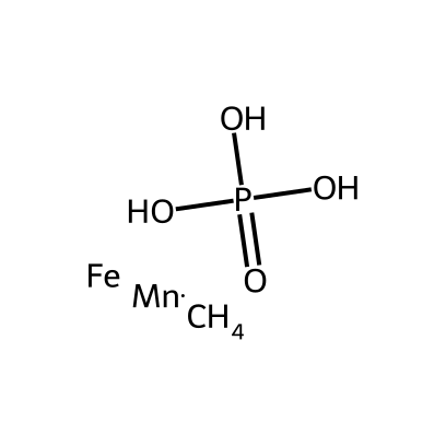 C.O=P(O)(O)O.[Fe].[Mn]